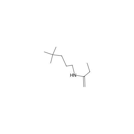 C=C(CC)NCCCC(C)(C)C